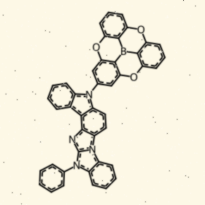 c1ccc(-n2c3ccccc3n3c4ccc5c(c6ccccc6n5-c5cc6c7c(c5)Oc5cccc8c5B7c5c(cccc5O6)O8)c4nc23)cc1